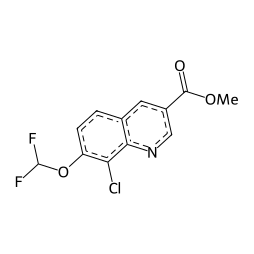 COC(=O)c1cnc2c(Cl)c(OC(F)F)ccc2c1